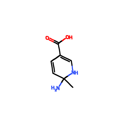 CC1(N)C=CC(C(=O)O)=CN1